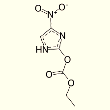 CCOC(=O)Oc1nc([N+](=O)[O-])c[nH]1